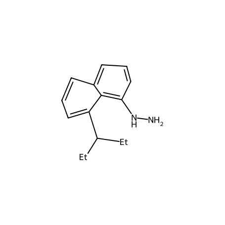 CCC(CC)c1cccc2cccc(NN)c12